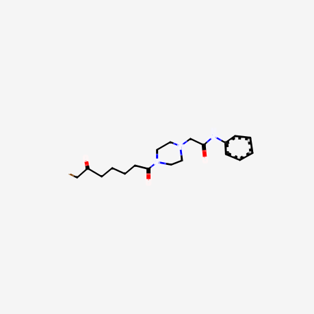 O=C(CS)CCCCC(=O)N1CCN(CC(=O)Nc2ccccc2)CC1